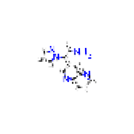 CC(N)C(c1cnc2cccnc2c1)n1cccn1